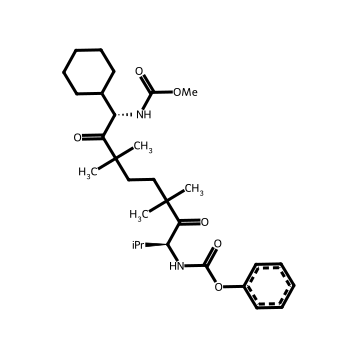 COC(=O)N[C@H](C(=O)C(C)(C)CCC(C)(C)C(=O)[C@@H](NC(=O)Oc1ccccc1)C(C)C)C1CCCCC1